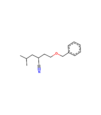 CC(C)CC(C#N)CCOCc1ccccc1